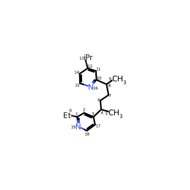 CCc1cc(C(C)CCC(C)c2cc(C(C)C)ccn2)ccn1